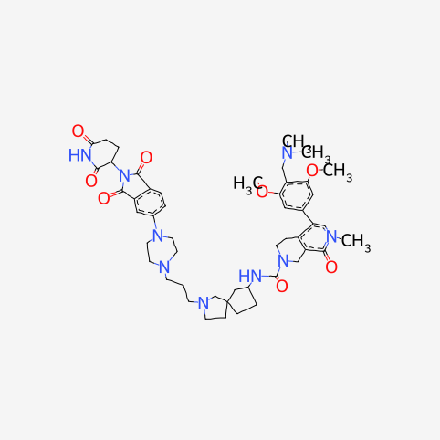 COc1cc(-c2cn(C)c(=O)c3c2CCN(C(=O)NC2CCC4(CCN(CCCN5CCN(c6ccc7c(c6)C(=O)N(C6CCC(=O)NC6=O)C7=O)CC5)C4)C2)C3)cc(OC)c1CN(C)C